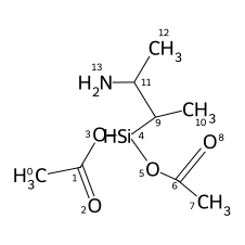 CC(=O)O[SiH](OC(C)=O)C(C)C(C)N